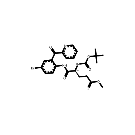 COC(=O)CC[C@H](NC(=O)OC(C)(C)C)C(=O)Nc1ccc(Br)cc1C(=O)c1ccccn1